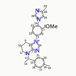 COc1cc(-n2cnc3c2CCCN3C(C)c2ccc(C)cc2)ccc1-n1cnc(C)c1